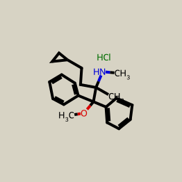 CNC(C)(CCC1CC1)C(OC)(c1ccccc1)c1ccccc1.Cl